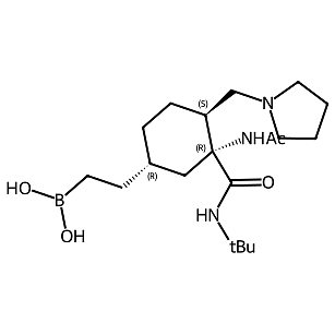 CC(=O)N[C@]1(C(=O)NC(C)(C)C)C[C@H](CCB(O)O)CC[C@H]1CN1CCCC1